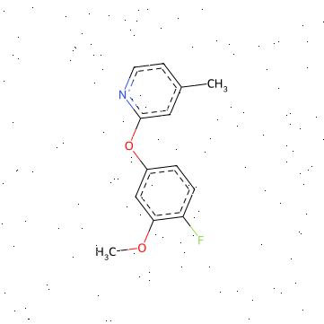 COc1cc(Oc2cc(C)ccn2)ccc1F